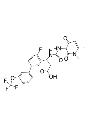 CC1=CC(=O)C(NC(=O)NC(CC(=O)O)c2cc(-c3cccc(OC(F)(F)F)c3)ccc2F)C(=O)N1C